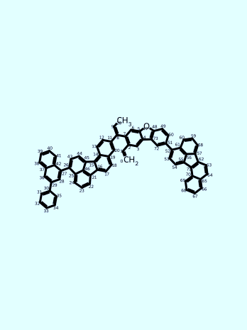 C=Cc1cc2c(cc1/C(=C\C)c1ccc3c4c(ccc3c1)-c1cccc3c(-c5cc(-c6ccccc6)cc6ccccc56)ccc-4c13)oc1ccc(-c3ccc4c5c(cccc35)-c3ccc5ccccc5c3-4)cc12